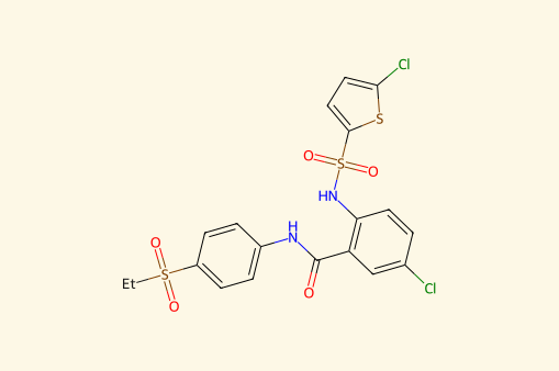 CCS(=O)(=O)c1ccc(NC(=O)c2cc(Cl)ccc2NS(=O)(=O)c2ccc(Cl)s2)cc1